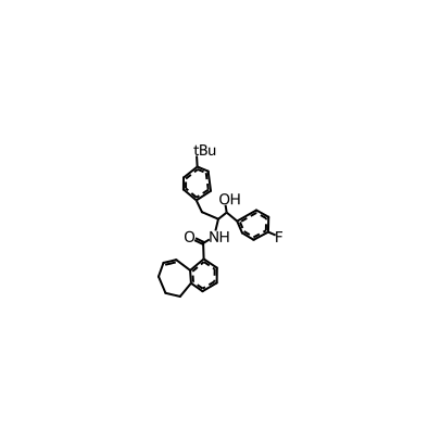 CC(C)(C)c1ccc(CC(NC(=O)c2cccc3c2C=CCCC3)C(O)c2ccc(F)cc2)cc1